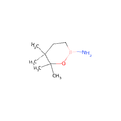 CC1(C)CCB(N)OC1(C)C